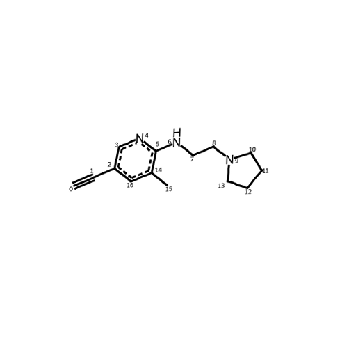 C#Cc1cnc(NCCN2CCCC2)c(C)c1